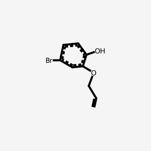 C=CCOc1cc(Br)ccc1O